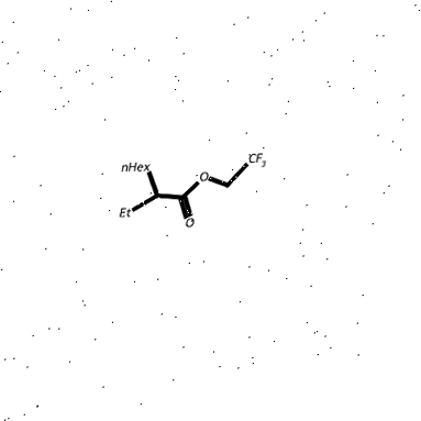 CCCCCCC(CC)C(=O)OCC(F)(F)F